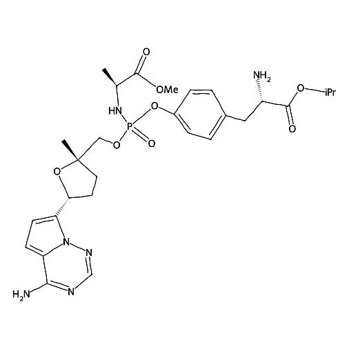 COC(=O)[C@H](C)NP(=O)(OC[C@]1(C)CC[C@H](c2ccc3c(N)ncnn23)O1)Oc1ccc(C[C@H](N)C(=O)OC(C)C)cc1